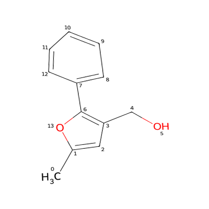 Cc1cc(CO)c(-c2ccccc2)o1